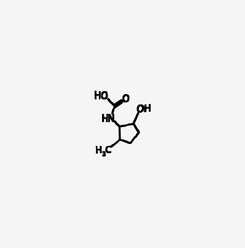 CC1CCC(O)C1NC(=O)O